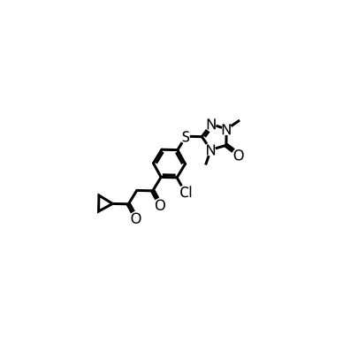 Cn1nc(Sc2ccc(C(=O)CC(=O)C3CC3)c(Cl)c2)n(C)c1=O